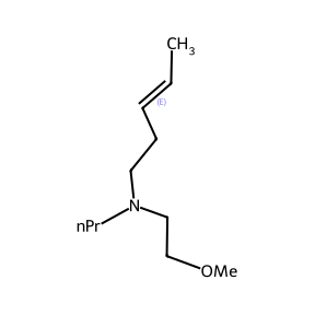 C/C=C/CCN(CCC)CCOC